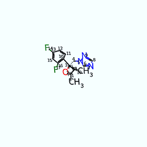 C[C@H]1O[C@@](Cn2cncn2)(c2ccc(F)cc2F)[C@H]1C